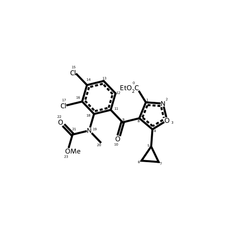 CCOC(=O)c1noc(C2CC2)c1C(=O)c1ccc(Cl)c(Cl)c1N(C)C(=O)OC